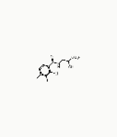 Cc1ccc(C(=O)NCC(O)C(=O)O)c(Cl)c1C